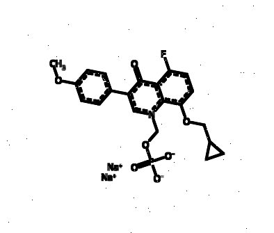 COc1ccc(-c2cn(COP(=O)([O-])[O-])c3c(OCC4CC4)ccc(F)c3c2=O)cc1.[Na+].[Na+]